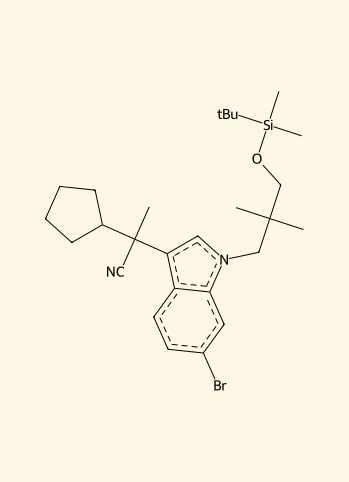 CC(C)(CO[Si](C)(C)C(C)(C)C)Cn1cc(C(C)(C#N)C2CCCC2)c2ccc(Br)cc21